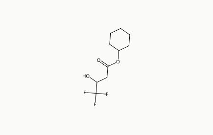 O=C(CC(O)C(F)(F)F)OC1CCCCC1